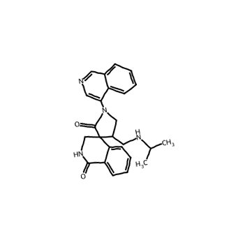 CC(C)NCC1CN(c2cncc3ccccc23)C(=O)C12CNC(=O)c1ccccc12